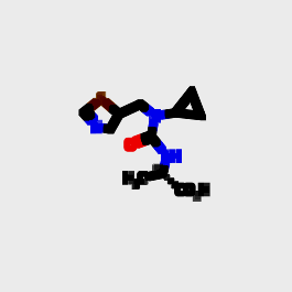 C[C@H](NC(=O)N(CC1CN=CS1)C1CC1)C(=O)O